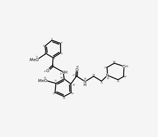 COc1ccccc1C(=O)Nc1c(OC)cccc1C(=O)NCCN1CCOCC1